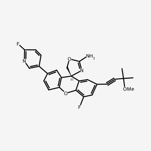 COC(C)(C)C#Cc1cc(F)c2c(c1)[C@]1(COC(N)=N1)c1cc(-c3ccc(F)nc3)ccc1O2